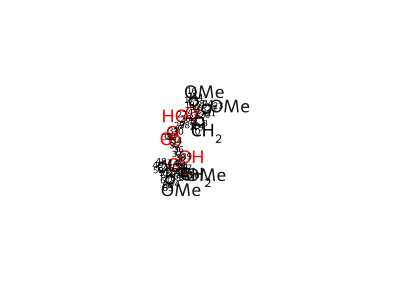 C=CCC(OC(c1ccccc1)(c1ccc(OC)cc1)c1ccc(OC)cc1)C(O)CCCOC(=O)OCCCC(O)C(CC=C)OC(c1ccccc1)(c1ccc(OC)cc1)c1ccc(OC)cc1